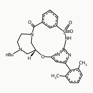 CCCCN1CCN2C[C@@H](C1)Oc1cc(-c3c(C)cccc3C)nc(n1)NS(=O)(=O)c1cccc(c1)C2=O